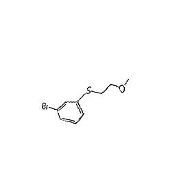 COCCSc1cccc(Br)c1